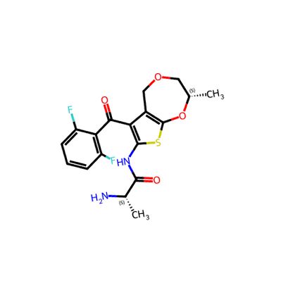 C[C@H](N)C(=O)Nc1sc2c(c1C(=O)c1c(F)cccc1F)COC[C@H](C)O2